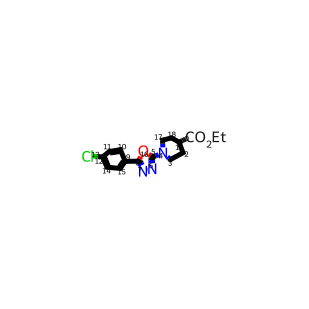 CCOC(=O)C1CCN(c2nnc(-c3ccc(Cl)cc3)o2)CC1